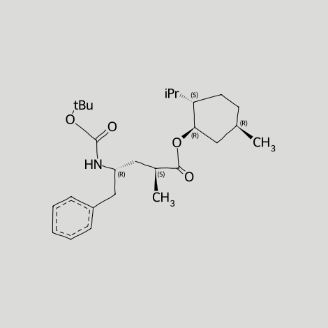 CC(C)[C@@H]1CC[C@@H](C)C[C@H]1OC(=O)[C@@H](C)C[C@H](Cc1ccccc1)NC(=O)OC(C)(C)C